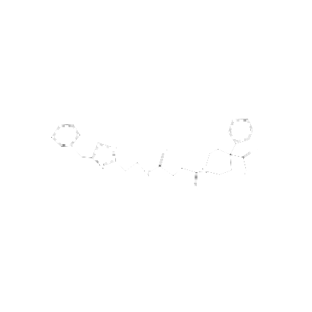 CC(=O)C1(c2ccccc2)CCN(C(=O)CCC(=O)NCCc2nc(Cc3ccccc3)co2)CC1